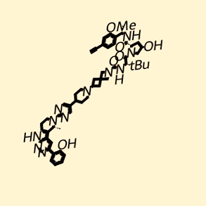 C#Cc1ccc([C@H](C)NC(=O)[C@@H]2C[C@@H](O)CN2C(=O)[C@@H](NC(=O)N2CC3(CC(N4CCC(c5cnc(N6CCc7[nH]c8nnc(-c9ccccc9O)cc8c7[C@H]6C)nc5)CC4)C3)C2)C(C)(C)C)c(OC)c1